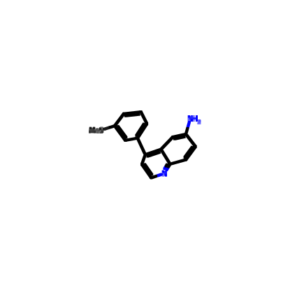 CSc1cccc(-c2ccnc3ccc(N)cc23)c1